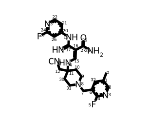 Cc1cnc(F)c(CN2CCC(CC#N)(N/C=C(\C(=N)Nc3ccnc(F)c3)C(N)=O)CC2)c1